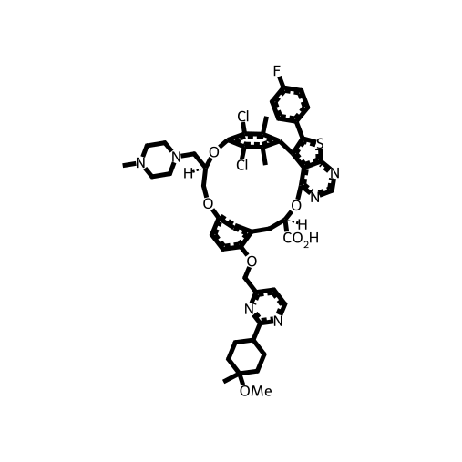 COC1(C)CCC(c2nccc(COc3ccc4cc3C[C@H](C(=O)O)Oc3ncnc5sc(-c6ccc(F)cc6)c(c35)-c3c(C)c(Cl)c(c(Cl)c3C)O[C@H](CN3CCN(C)CC3)CO4)n2)CC1